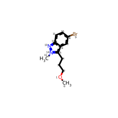 COCCCc1c2cc(Br)ccc2nn1C